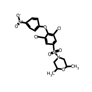 CC1CN(S(=O)(=O)c2cc(Cl)c(Oc3ccc([N+](=O)[O-])cc3)c(Cl)c2)CC(C)O1